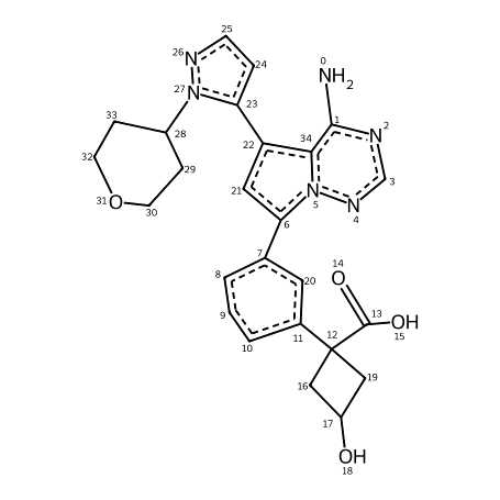 Nc1ncnn2c(-c3cccc(C4(C(=O)O)CC(O)C4)c3)cc(-c3ccnn3C3CCOCC3)c12